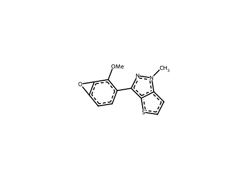 COc1c(-c2nn(C)c3ccsc23)ccc2c1O2